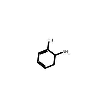 NC1CC=CC=C1O